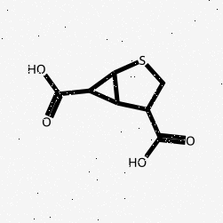 O=C(O)C1CSC2C(C(=O)O)C12